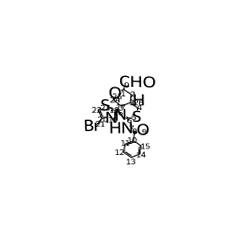 O=C[C@H]1C[C@H]2CSC(NC(=O)c3ccccc3)=N[C@@]2(c2nc(Br)cs2)CO1